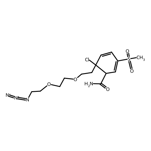 CS(=O)(=O)C1=CC(C(N)=O)C(Cl)(CCOCCOCCN=[N+]=[N-])C=C1